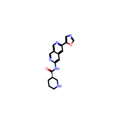 O=C(Nc1cc2cc(-c3cnco3)ncc2cn1)[C@@H]1CCCNC1